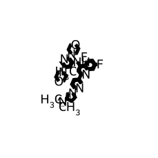 Cc1c(-c2ccc(N3CC[C@@H](N(C)C)C3)nc2)nc2cc(F)cc(F)c2c1Nc1cc(N2CCOCC2)cnc1N1CCOCC1